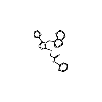 O=C(CSc1nnc(-c2cccs2)n1Cc1cccc2ccccc12)Nc1ccccc1